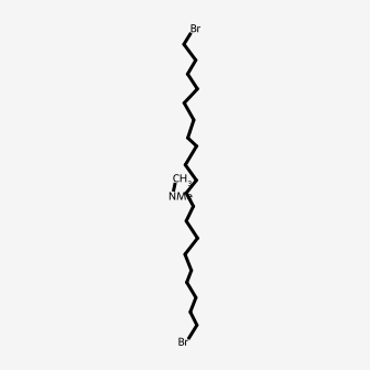 BrCCCCCCCCCCCCCCCCCCCCBr.CNC